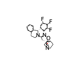 Fc1cc([C@H]2c3ccccc3CCN2C2=NO[C@]3(C2)CN2CCC3CC2)cc(F)c1F